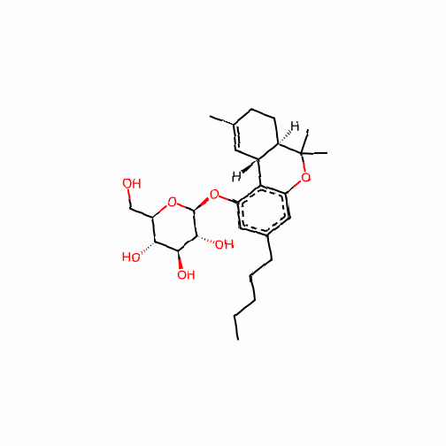 CCCCCc1cc(O[C@@H]2OC(CO)[C@@H](O)[C@H](O)[C@H]2O)c2c(c1)OC(C)(C)[C@@H]1CCC(C)=C[C@@H]21